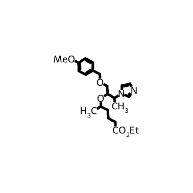 CCOC(=O)CCCC(C)OC(COCc1ccc(OC)cc1)C(C)n1ccnc1